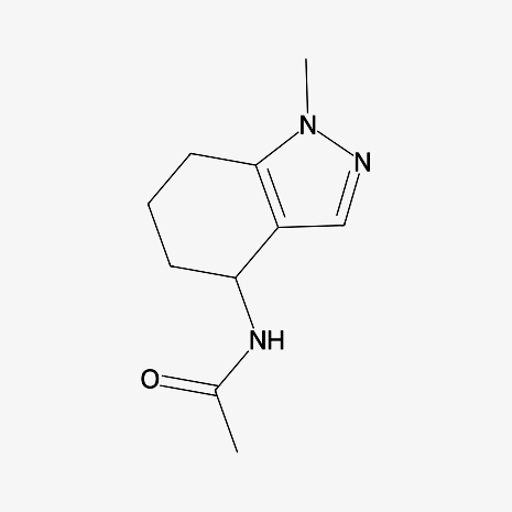 CC(=O)NC1CCCc2c1cnn2C